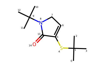 CC(C)(C)SC1=CCN(C(C)(C)C)C1=O